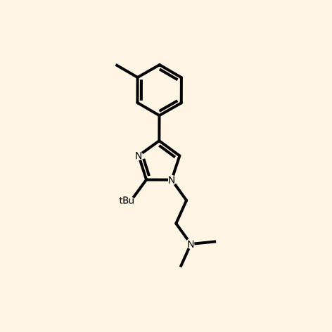 Cc1cccc(-c2cn(CCN(C)C)c(C(C)(C)C)n2)c1